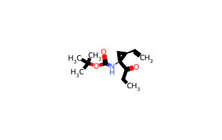 C=C[C@@H]1C[C@]1(NC(=O)OC(C)(C)C)C(=O)CC